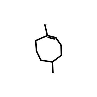 [CH2]/C1=C/CCC(C)CCC1